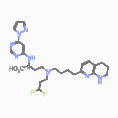 O=C(O)[C@H](CCN(CCCCc1ccc2c(n1)NCCC2)CCC(F)F)Nc1cc(-n2cccn2)ncn1